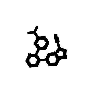 CC(C)c1cccc(-c2ncccc2-c2ccc3ncc(C#N)n3c2)n1